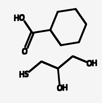 O=C(O)C1CCCCC1.OCC(O)CS